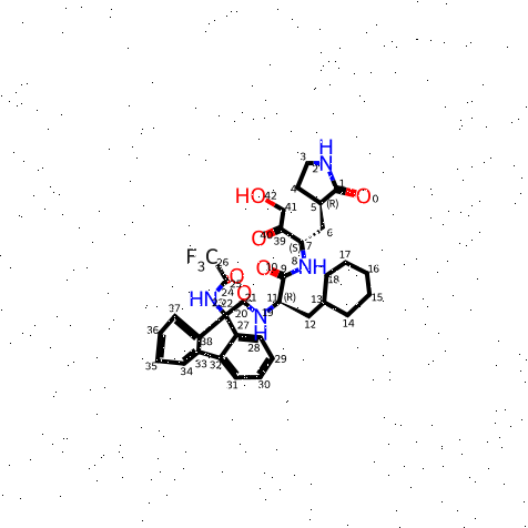 O=C1NCC[C@@H]1C[C@H](NC(=O)[C@@H](CC1CCCCC1)NC(=O)C1(NC(=O)C(F)(F)F)c2ccccc2-c2ccccc21)C(=O)CO